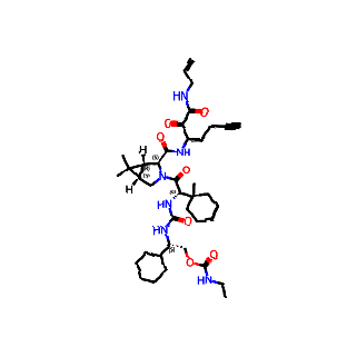 C#CCCC(NC(=O)[C@@H]1[C@@H]2[C@H](CN1C(=O)[C@@H](NC(=O)N[C@H](COC(=O)NCC)C1CCCCC1)C1(C)CCCCC1)C2(C)C)C(=O)C(=O)NCC=C